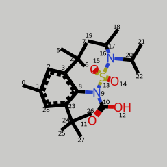 Cc1cc(C(C)(C)C)c(N(C(=O)O)S(=O)(=O)N(C(C)C)C(C)C)c(C(C)(C)C)c1